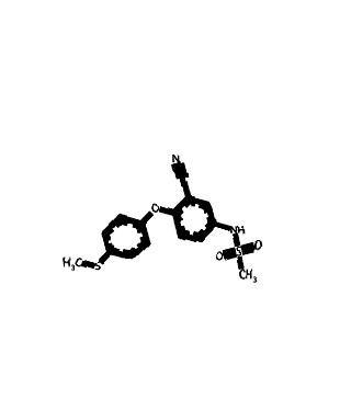 CSc1ccc(Oc2ccc(NS(C)(=O)=O)cc2C#N)cc1